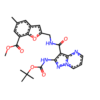 COC(=O)c1cc(C)cc2cc(CNC(=O)c3c(NC(=O)OC(C)(C)C)nn4cccnc34)oc12